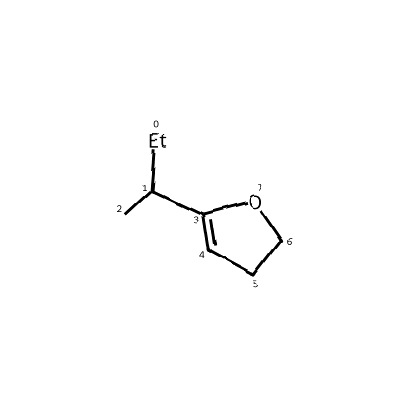 CCC(C)C1=CCCO1